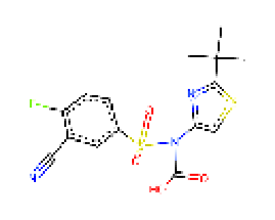 CC(C)(C)c1nc(N(C(=O)O)S(=O)(=O)c2ccc(F)c(C#N)c2)cs1